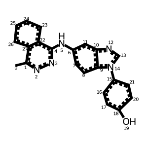 Cc1nnc(Nc2ccc3c(c2)ncn3-c2ccc(O)cc2)c2ccccc12